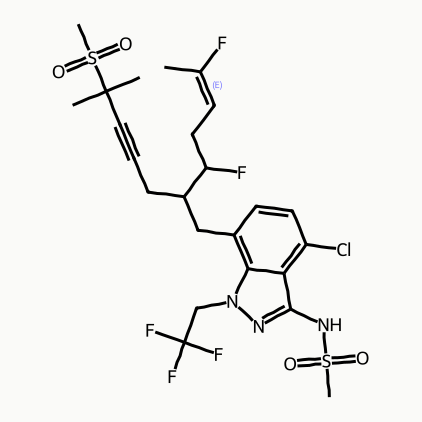 C/C(F)=C\CC(F)C(CC#CC(C)(C)S(C)(=O)=O)Cc1ccc(Cl)c2c(NS(C)(=O)=O)nn(CC(F)(F)F)c12